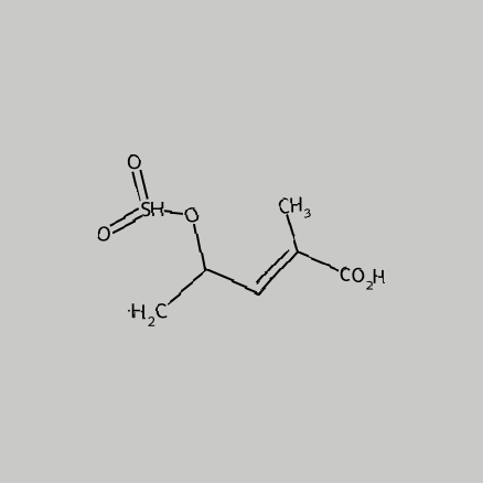 [CH2]C(C=C(C)C(=O)O)O[SH](=O)=O